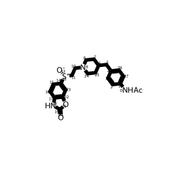 CC(=O)Nc1ccc(CC2CCN(CC[S+]([O-])c3ccc4[nH]c(=O)oc4c3)CC2)cc1